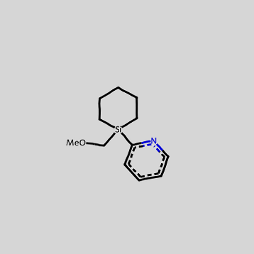 COC[Si]1(c2ccccn2)CCCCC1